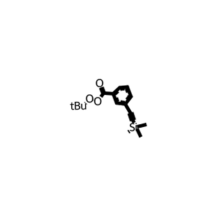 CC(C)(C)OOC(=O)c1cccc(C#C[Si](C)(C)C)c1